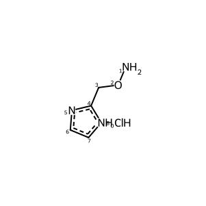 Cl.NOCc1ncc[nH]1